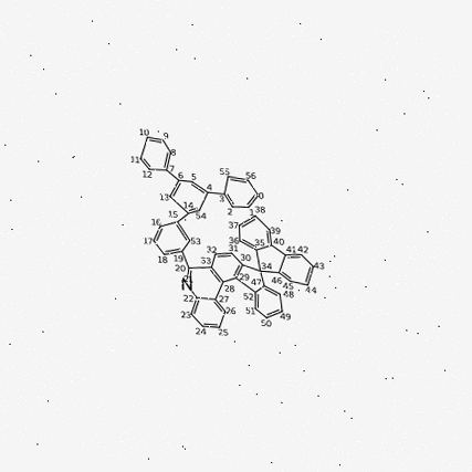 c1ccc(-c2cc(-c3ccccc3)cc(-c3cccc(-c4nc5ccccc5c5c6c(ccc45)C4(c5ccccc5-c5ccccc54)c4ccccc4-6)c3)c2)cc1